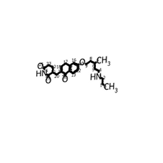 CCCNCCC(C)CCOc1ccc2c(c1)CC=C(CC1CCC(=O)NC1=O)C2=O